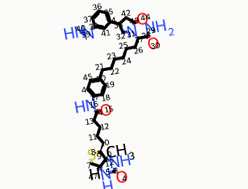 C[C@]12NC(=O)N[C@H]1CS[C@H]2CCCCC(=O)Nc1ccc(CCCCCCC(C(N)=O)N2CC(c3cccc(N=N)c3)CC2=O)cc1